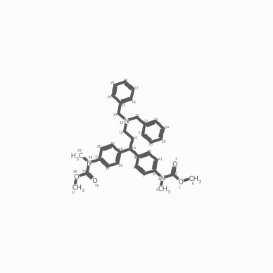 COC(=O)N(C)c1ccc(C(CCN(Cc2ccccc2)Cc2ccccc2)c2ccc(N(C)C(=O)OC)cc2)cc1